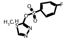 C[SH]1C=NN=C1OS(=O)(=O)c1ccc(F)cc1